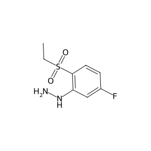 CCS(=O)(=O)c1ccc(F)cc1NN